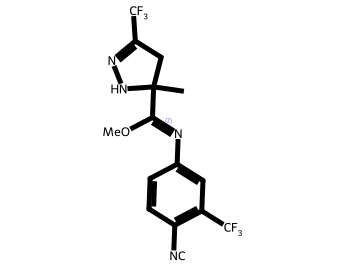 [C-]#[N+]c1ccc(/N=C(\OC)C2(C)CC(C(F)(F)F)=NN2)cc1C(F)(F)F